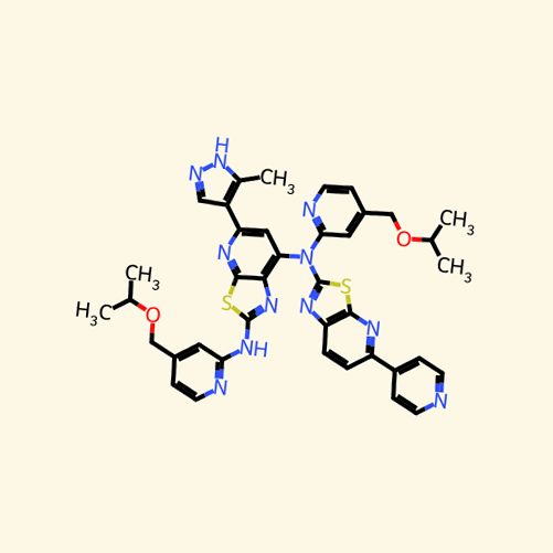 Cc1[nH]ncc1-c1cc(N(c2cc(COC(C)C)ccn2)c2nc3ccc(-c4ccncc4)nc3s2)c2nc(Nc3cc(COC(C)C)ccn3)sc2n1